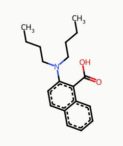 CCCCN(CCCC)c1ccc2ccccc2c1C(=O)O